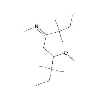 CCC(C)(C)/C(CC(OC)C(C)(C)CC)=N/C